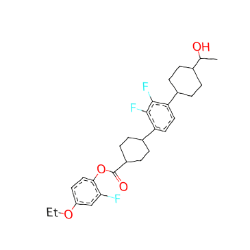 CCOc1ccc(OC(=O)C2CCC(c3ccc(C4CCC(C(C)O)CC4)c(F)c3F)CC2)c(F)c1